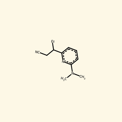 CCC(CC#N)c1cccc(N(C)C)n1